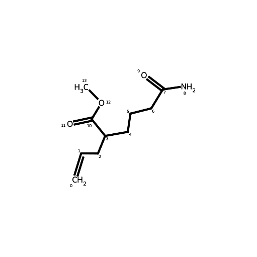 C=CCC(CCCC(N)=O)C(=O)OC